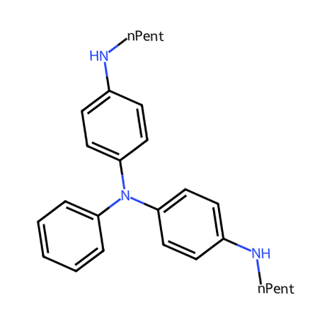 CCCCCNc1ccc(N(c2ccccc2)c2ccc(NCCCCC)cc2)cc1